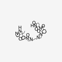 CCC1(c2cccc(N3CCN(CCCN4CCN(c5cccc6c5C(=O)N(C5CCC(=O)NC5=O)C6=O)CC4)CC3=O)c2)CNc2nccc(Cl)c21